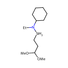 CCN([SiH2]CCC(OC)OC)C1CCCCC1